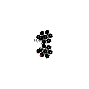 CC1(C)C2=C(c3ccccc31)N(c1ccccc1)c1cc(N(c3ccccc3)c3ccccc3)cc3c1B2c1cc2sc4cc5c(cc4c2cc1N3c1ccccc1)N(c1ccccc1)c1cc(N(c2ccccc2)c2ccccc2)cc2c1B5c1oc3ccccc3c1N2c1ccccc1